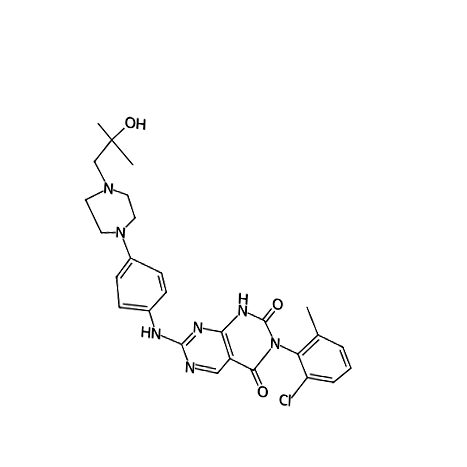 Cc1cccc(Cl)c1-n1c(=O)[nH]c2nc(Nc3ccc(N4CCN(CC(C)(C)O)CC4)cc3)ncc2c1=O